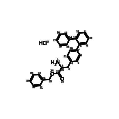 Cl.N[C@@H](Cc1ccc(-c2ccccc2-c2ccccc2)cc1)C(=O)OCc1ccccc1